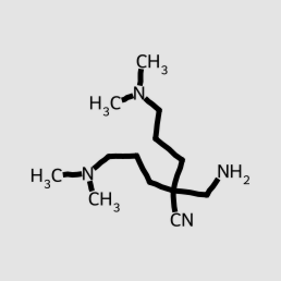 CN(C)CCCC(C#N)(CN)CCCN(C)C